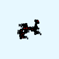 CC(C)[C@H](NC(=O)CCCCCN1C(=O)C=CC1=O)C(=O)N[C@@H](CCCNC(N)=O)C(=O)Nc1ccc(COC(=O)NC2C3OP(=O)(O)OC[C@H]4O[C@@H](n5cnc6c(=O)[nH]c(N)nc65)C(O)C4OP(=O)(O)OC[C@H]3O[C@H]2n2cnc3c(=O)[nH]c(N)nc32)cc1